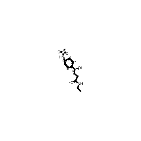 CCNC(=O)CC[C@H](O)c1ccc(NS(C)(=O)=O)cc1